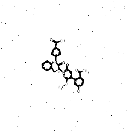 COc1nn([C@@H](Cc2ccccc2)C(=O)Nc2ccc(C(=O)O)cc2)c(=O)cc1-c1cc(Cl)ccc1C(C)=O